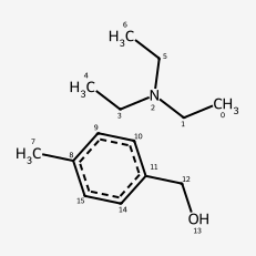 CCN(CC)CC.Cc1ccc(CO)cc1